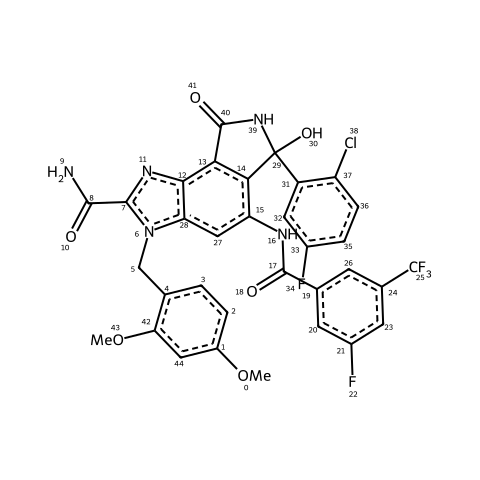 COc1ccc(Cn2c(C(N)=O)nc3c4c(c(NC(=O)c5cc(F)cc(C(F)(F)F)c5)cc32)C(O)(c2cc(F)ccc2Cl)NC4=O)c(OC)c1